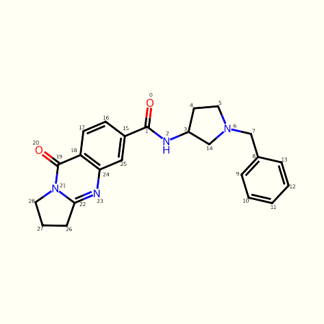 O=C(NC1CCN(Cc2ccccc2)C1)c1ccc2c(=O)n3c(nc2c1)CCC3